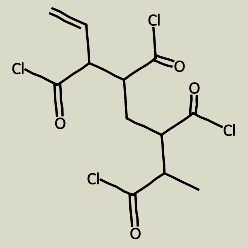 C=CC(C(=O)Cl)C(CC(C(=O)Cl)C(C)C(=O)Cl)C(=O)Cl